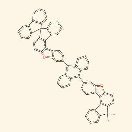 CC1(C)c2ccccc2-c2c1ccc1oc3cc(-c4c5ccccc5c(-c5ccc6c(c5)oc5ccc7c(c56)-c5ccccc5C75c6ccccc6-c6ccccc65)c5ccccc45)ccc3c21